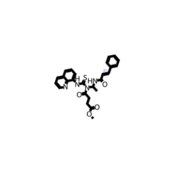 COC(=O)CCC(=O)N(C(=S)Nc1cccc2cccnc12)C(C)NC(=O)/C=C/c1ccccc1